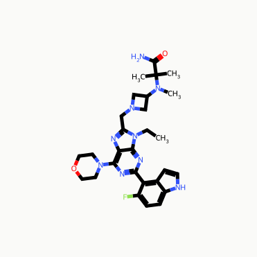 CCn1c(CN2CC(N(C)C(C)(C)C(N)=O)C2)nc2c(N3CCOCC3)nc(-c3c(F)ccc4[nH]ccc34)nc21